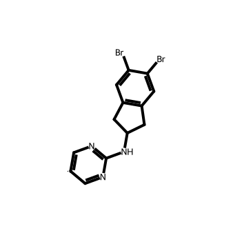 Brc1cc2c(cc1Br)CC(Nc1nc[c]cn1)C2